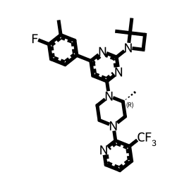 Cc1cc(-c2cc(N3CCN(c4ncccc4C(F)(F)F)C[C@H]3C)nc(N3CCC3(C)C)n2)ccc1F